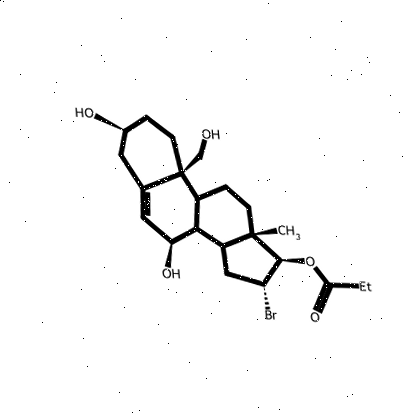 CCC(=O)O[C@H]1[C@H](Br)CC2C3C(CC[C@@]21C)[C@@]1(CO)CC[C@H](O)CC1=C[C@@H]3O